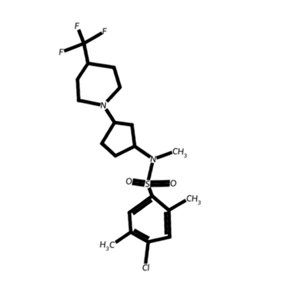 Cc1cc(S(=O)(=O)N(C)C2CCC(N3CCC(C(F)(F)F)CC3)C2)c(C)cc1Cl